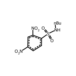 CCCCNS(=O)(=O)c1ccc([N+](=O)[O-])cc1[N+](=O)[O-]